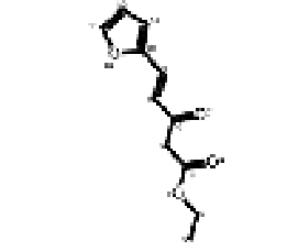 CCOC(=O)CC(=O)C=Cc1ccco1